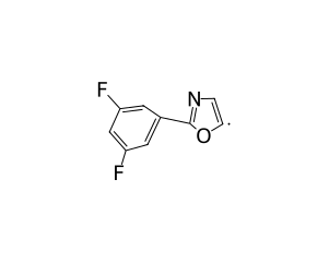 Fc1cc(F)cc(-c2nc[c]o2)c1